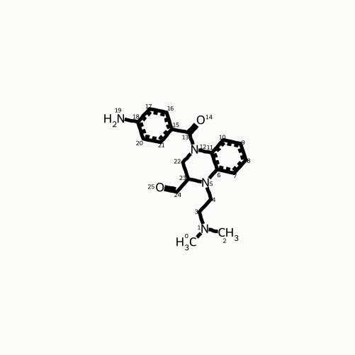 CN(C)CCN1c2ccccc2N(C(=O)c2ccc(N)cc2)CC1C=O